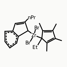 CCCC1=Cc2ccccc2[CH]1[Zr]([Br])([Br])[C]1(CC)C(C)=C(C)C(C)=C1C